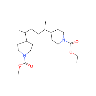 CCOC(=O)N1CCC(C(C)CCC(C)C2CCN(C(=O)OC)CC2)CC1